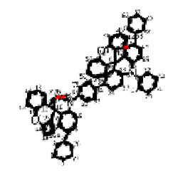 c1ccc(-c2ccc3c(c2)C2(c4ccccc4Oc4ccccc42)c2ccccc2N3c2ccc(-c3ccc4c(c3)C3(c5ccccc5Oc5ccccc53)c3cc(-c5ccccc5)ccc3N4c3ccccc3)cc2)cc1